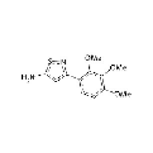 COc1ccc(-c2cc(N)sn2)c(OC)c1OC